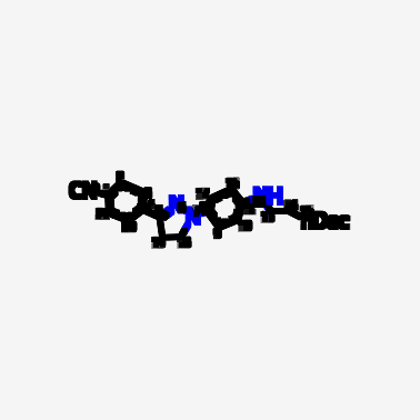 [C-]#[N+]c1ccc(C2=NN(c3ccc(NCCCCCCCCCCCC)cc3)CC2)cc1